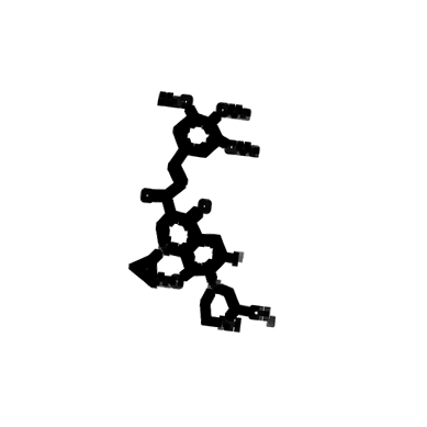 COc1cc(C=CC(=O)c2cn(C3CC3)c3c(OC)c(N4CCNC(C)C4)c(F)cc3c2=O)cc(OC)c1OC